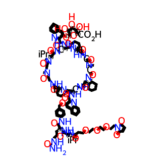 CC(C)[C@H](NC(=O)CCOCCOCCOCCN1C(=O)C=CC1=O)C(=O)N[C@@H](CCCNC(N)=O)C(=O)Nc1ccc(COc2cc3ccccc3nc2C(=O)N[C@@H]2CNC(=O)[C@H](C3CCCCC3)N(C)C(=O)CN(C)C(=O)CNC(=O)[C@@H]3CCCCN3C(=O)[C@H](NC(=O)c3nc4ccccc4cc3O[C@@H]3O[C@H](C(=O)O)[C@@H](O)[C@H](O)[C@H]3O)CNC(=O)[C@H](C(C)C)N(C)C(=O)CN(C)C(=O)CNC(=O)[C@@H]3CCCCN3C2=O)cc1